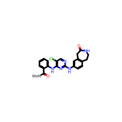 CNC(=O)c1ccccc1Nc1nc(Nc2ccc3c(c2)CC(=O)NCC3)ncc1Cl